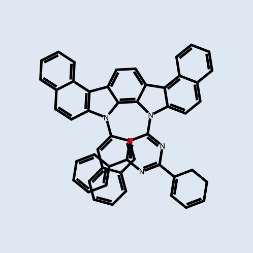 C1=CCCC(c2nc(-c3ccccc3)nc(-n3c4ccc5ccccc5c4c4ccc5c6c7ccccc7ccc6n(-c6ccc7ccccc7c6)c5c43)n2)=C1